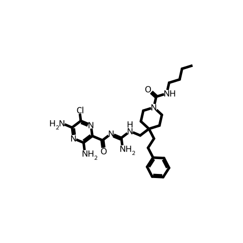 CCCCNC(=O)N1CCC(CCc2ccccc2)(CN/C(N)=N/C(=O)c2nc(Cl)c(N)nc2N)CC1